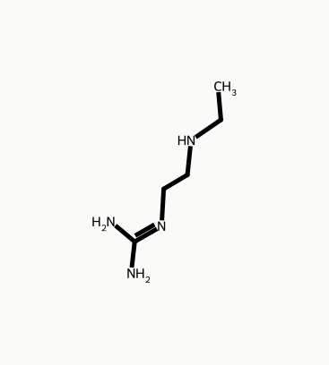 CCNCCN=C(N)N